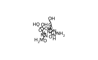 NC(=O)c1ncn([C@@H]2O[C@H](CO)[C@@H](O)[C@H]2O)n1.Nc1nc2c(ncn2COCCO)c(=O)[nH]1